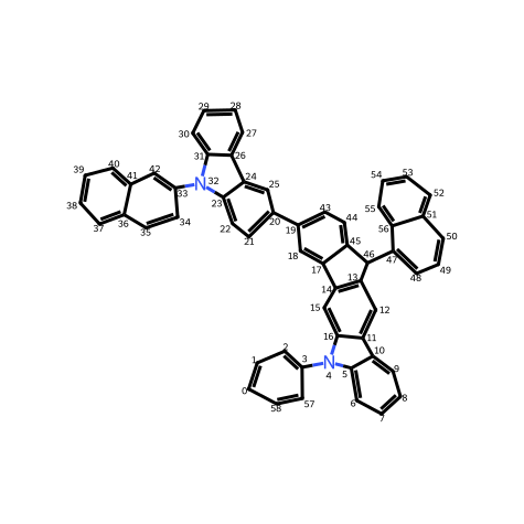 c1ccc(-n2c3ccccc3c3cc4c(cc32)-c2cc(-c3ccc5c(c3)c3ccccc3n5-c3ccc5ccccc5c3)ccc2C4c2cccc3ccccc23)cc1